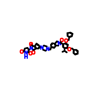 CC(C)c1cc(C(=O)N2Cc3ccc(CN4CCN(c5ccc6c(c5)C(=O)N(C5CCC(=O)NC5=O)C6=O)CC4)cc3C2)c(OCc2ccccc2)cc1OCc1ccccc1